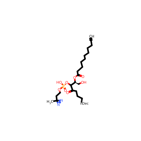 C#CCCCCCCCCC(=O)O[C@@H](CO)C(OP(=O)(O)OCCC1(C)N=N1)C(=O)CCCCCCCCCCCCC